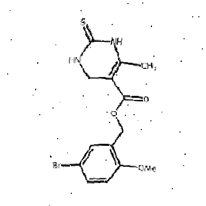 COc1ccc(Br)cc1COC(=O)C1=C(C)NC(=S)NC1